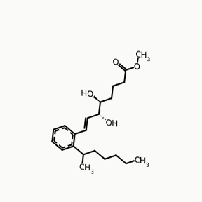 CCCCCC(C)c1ccccc1/C=C/[C@@H](O)[C@@H](O)CCCC(=O)OC